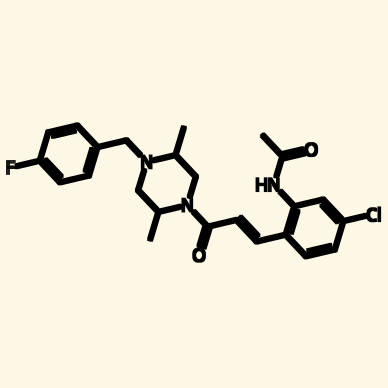 CC(=O)Nc1cc(Cl)ccc1C=CC(=O)N1CC(C)N(Cc2ccc(F)cc2)CC1C